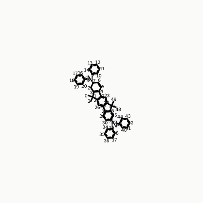 CC1(C)C2=C(C=CC(N(c3ccccc3)c3ccccc3)C2)c2cc3c(cc21)-c1ccc(N(c2ccccc2)c2ccccc2)cc1C3(C)C